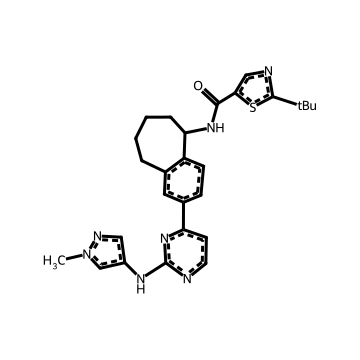 Cn1cc(Nc2nccc(-c3ccc4c(c3)CCCCC4NC(=O)c3cnc(C(C)(C)C)s3)n2)cn1